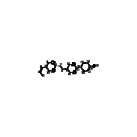 C/C=C\[C@H]1CO[C@H](CCC2COC(C3CC=C(F)CC3)OC2)OC1